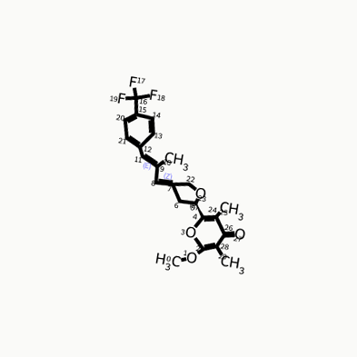 COc1oc([C@H]2C/C(=C/C(C)=C/c3ccc(C(F)(F)F)cc3)CO2)c(C)c(=O)c1C